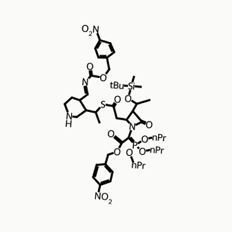 CCCOP(OCCC)(OCCC)=C(C(=O)OCc1ccc([N+](=O)[O-])cc1)N1C(=O)C(C(C)O[Si](C)(C)C(C)(C)C)C1CC(=O)SC(C)C1CNCCC1C=NC(=O)OCc1ccc([N+](=O)[O-])cc1